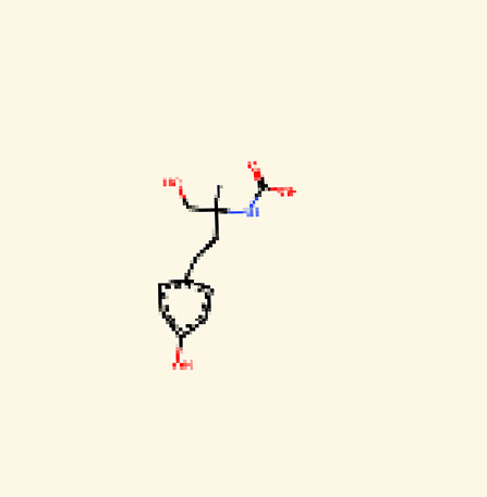 CC(CO)(CCc1ccc(O)cc1)NC(=O)O